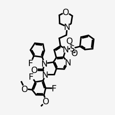 COc1cc(OC)c(F)c(N2Cc3cnc4c(cc(CCN5CCOCC5)n4S(=O)(=O)c4ccccc4)c3N(c3ccccc3F)C2=O)c1F